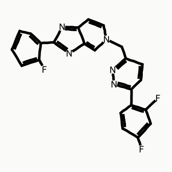 Fc1ccc(-c2ccc(Cn3ccc4nc(-c5ccccc5F)nc-4c3)nn2)c(F)c1